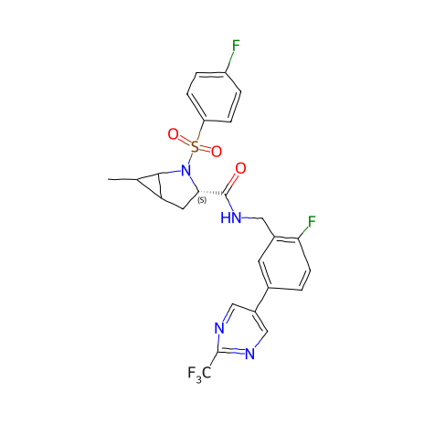 CC1C2C[C@@H](C(=O)NCc3cc(-c4cnc(C(F)(F)F)nc4)ccc3F)N(S(=O)(=O)c3ccc(F)cc3)C12